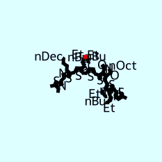 CCCCCCCCCCCCCc1nc(-c2nc(C)c(C)s2)sc1-c1cc2c(s1)-c1sc(-c3sc(-c4cc5c(s4)-c4sc(C)cc4[Si]5(CC(CC)CCCC)CC(CC)CCCC)c4c3C(=O)N(CCCCCCCC)C4=O)cc1[Si]2(CC(CC)CCCC)CC(CC)CCCC